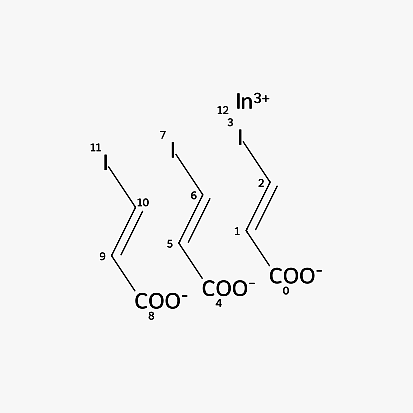 O=C([O-])/C=C/I.O=C([O-])/C=C/I.O=C([O-])/C=C/I.[In+3]